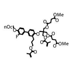 C=C(C)C(=O)OCCCc1cc(-c2ccc(OCCCCCCCC)c(F)c2)ccc1OCC(COC(=O)CCC(=O)OC)(COC(=O)CCC(=O)OC)COC(=O)C(=C)C